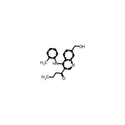 CCCC(=O)c1cnc2cc(CO)ccc2c1Nc1ccccc1C